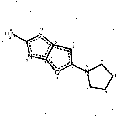 Nc1nc2oc(N3CCCC3)cc2s1